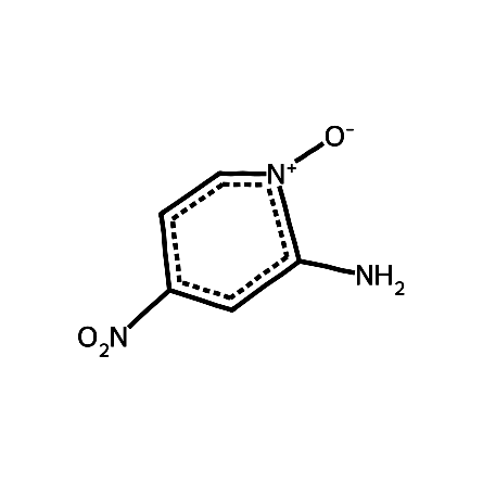 Nc1cc([N+](=O)[O-])cc[n+]1[O-]